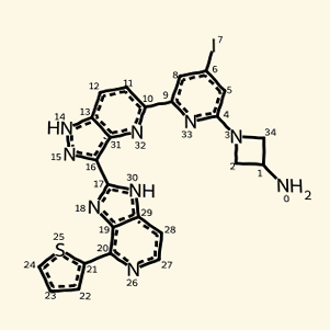 NC1CN(c2cc(I)cc(-c3ccc4[nH]nc(-c5nc6c(-c7cccs7)nccc6[nH]5)c4n3)n2)C1